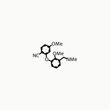 CNCc1cccc(Oc2cc(OC)ccc2C#N)c1OC